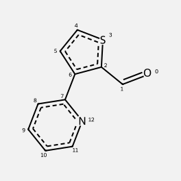 O=Cc1sccc1-c1ccccn1